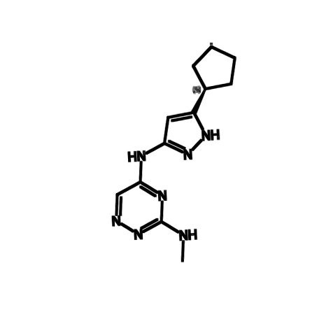 CNc1nncc(Nc2cc([C@H]3C[CH]CC3)[nH]n2)n1